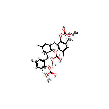 Cc1cc(Cc2cc(C)cc(C(C)(C)C)c2OC(=O)OC(C)(C)C)c(OC(=O)OC(C)(C)C)c(Cc2cc(C)cc(C(C)(C)C)c2OC(=O)OC(C)(C)C)c1